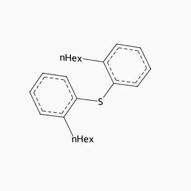 CCCCCCc1ccccc1Sc1ccccc1CCCCCC